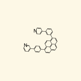 c1cncc(-c2ccc(-c3ccc4ccc5ccc(-c6cccc(-c7ccncc7)c6)c6ccc3c4c56)cc2)c1